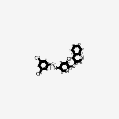 Clc1cc(Cl)cc(SNc2cnc(Oc3cnc4ccccc4c3)c(Cl)c2)c1